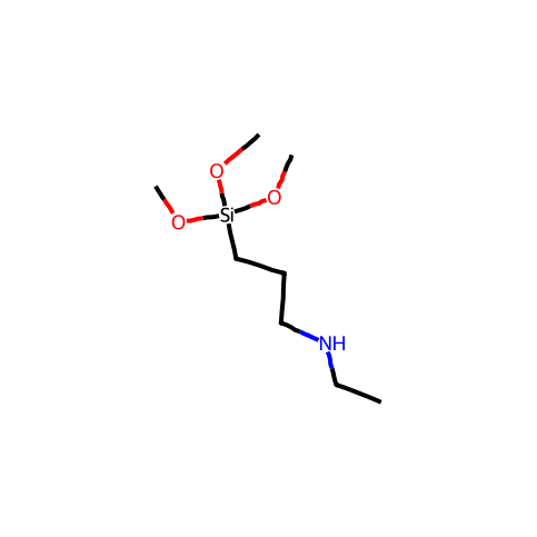 CCNCCC[Si](OC)(OC)OC